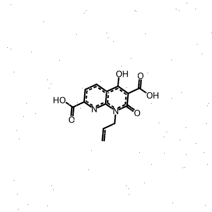 C=CCn1c(=O)c(C(=O)O)c(O)c2ccc(C(=O)O)nc21